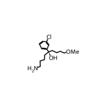 COCCCC[C@](O)(CCCCN)c1cccc(Cl)c1